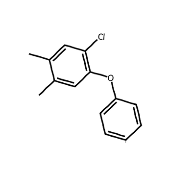 Cc1cc(Cl)c(Oc2cc[c]cc2)cc1C